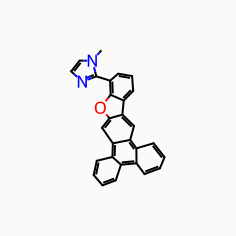 Cn1ccnc1-c1cccc2c1oc1cc3c4ccccc4c4ccccc4c3cc12